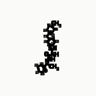 C/C(=N\NC(=O)Nc1nc2ccc(CN3CCC(C)CC3)cc2s1)c1ccccn1